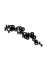 COc1ccc(CN2C(=O)COc3ccc(N4C(=O)O[C@@H]5C[C@H](NCCn6c(=O)ccc7ccc(OCCN(C)C(=O)O)cc76)CC[C@H]54)nc32)cc1